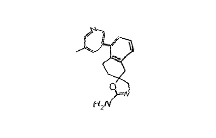 Cc1cncc(-c2cccc3c2CCC2(CN=C(N)O2)C3)c1